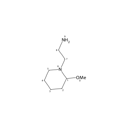 COC1CCCCN1CCN